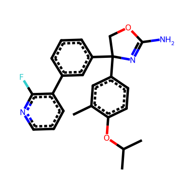 Cc1cc(C2(c3cccc(-c4cccnc4F)c3)COC(N)=N2)ccc1OC(C)C